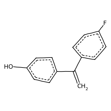 C=C(c1ccc(O)cc1)c1ccc(F)cc1